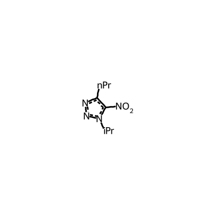 CCCc1nnn(C(C)C)c1[N+](=O)[O-]